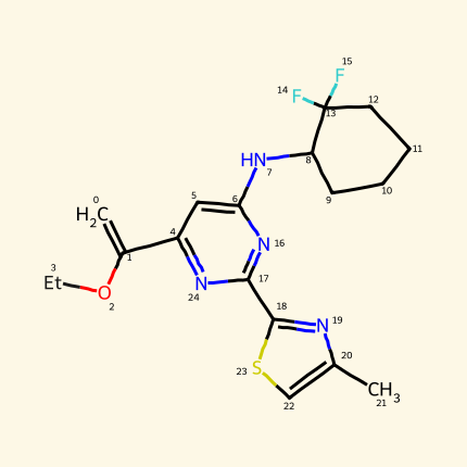 C=C(OCC)c1cc(NC2CCCCC2(F)F)nc(-c2nc(C)cs2)n1